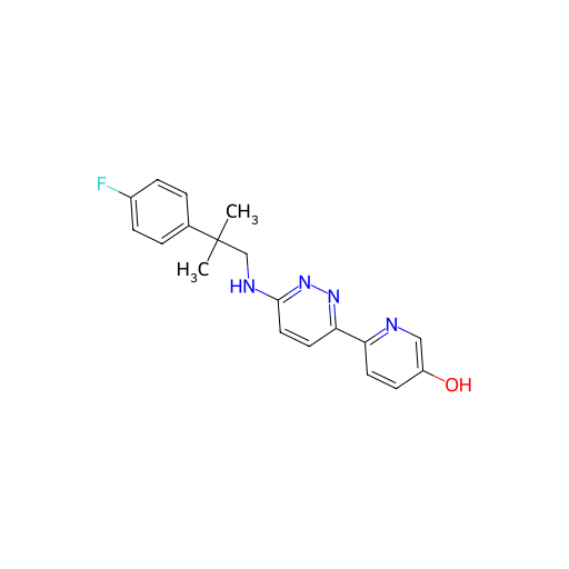 CC(C)(CNc1ccc(-c2ccc(O)cn2)nn1)c1ccc(F)cc1